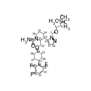 C[Si](C)(C)CCOCn1nccc1C1CCCN(C(N)=O)C1CO[C@H]1CC[C@@H](c2c(F)ccc(F)c2F)CC1